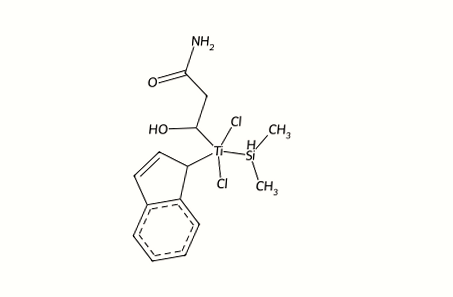 C[SiH](C)[Ti]([Cl])([Cl])([CH](O)CC(N)=O)[CH]1C=Cc2ccccc21